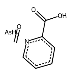 C=O.O=C(O)c1ccccn1.[AsH3]